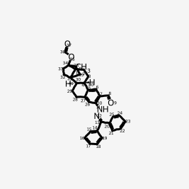 C[C@]12CC[C@@H]3c4cc(C=O)c(NN=C(c5ccccc5)c5ccccc5)cc4CC[C@H]3C13CCC2(OC=O)CC3